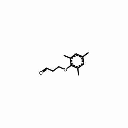 Cc1cc(C)c(OCCC=O)c(C)c1